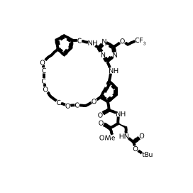 COC(=O)[C@H](CNC(=O)OC(C)(C)C)NC(=O)c1ccc2cc1OCCOCCOCCOc1ccc(cc1)CNc1nc(nc(OCC(F)(F)F)n1)N2